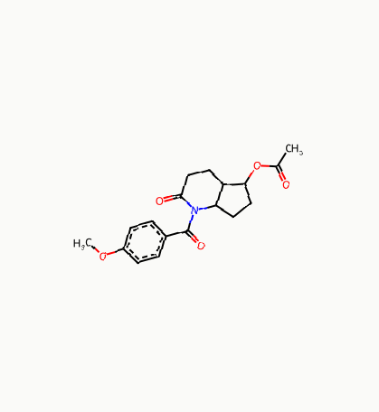 COc1ccc(C(=O)N2C(=O)CCC3C(OC(C)=O)CCC32)cc1